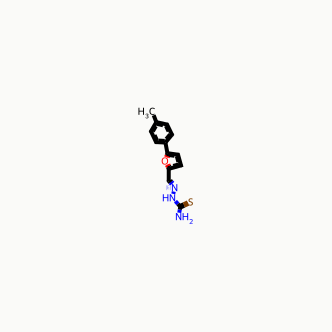 Cc1ccc(-c2ccc(/C=N/NC(N)=S)o2)cc1